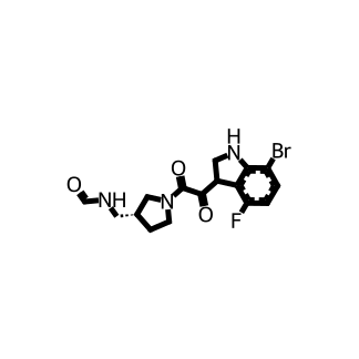 O=CNC[C@H]1CCN(C(=O)C(=O)C2CNc3c(Br)ccc(F)c32)C1